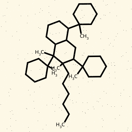 CCCCCCC1(C)C(C2(C)CCCCC2)CC2C(C3(C)CCCCC3)CCCC2C1(C)C1(C)CCCCC1